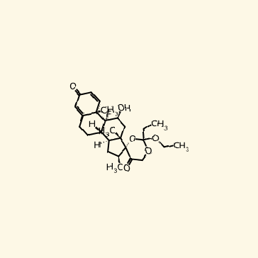 CCOC1(CC)OCC(=O)[C@@]2(O1)[C@@H](C)C[C@H]1[C@@H]3CCC4=CC(=O)C=C[C@]4(C)[C@@]3(F)[C@@H](O)C[C@@]12C